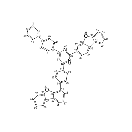 c1ccc(-c2ccc(-c3cc(-c4ccc(-c5cccc6c5oc5ccccc56)cc4)nc(-c4ccc5c(c4)oc4ccccc45)n3)cc2)cc1